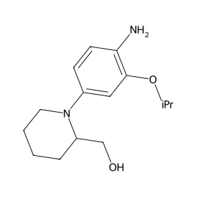 CC(C)Oc1cc(N2CCCCC2CO)ccc1N